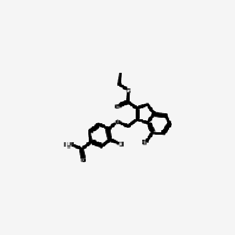 CCOC(=O)C1=C(COc2ccc(C(N)=O)cc2Cl)c2c(Cl)cccc2C1